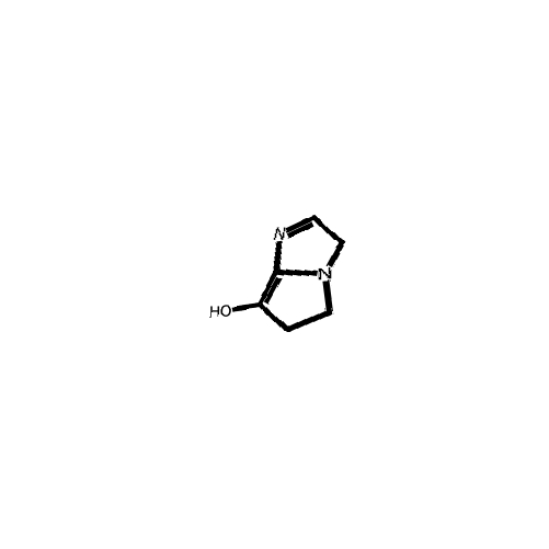 OC1=C2N=CCN2CC1